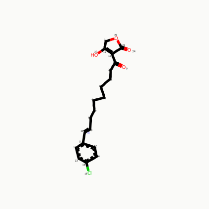 O=C(CCCCCCC/C=C/c1ccc(Cl)cc1)C1=C(O)COC1=O